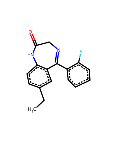 CCc1ccc2c(c1)C(c1ccccc1F)=NCC(=O)N2